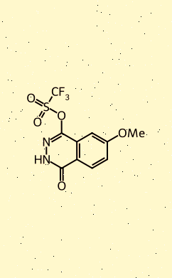 COc1ccc2c(=O)[nH]nc(OS(=O)(=O)C(F)(F)F)c2c1